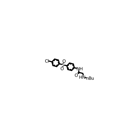 CCCCNCC(=O)Nc1ccc(S(=O)(=O)c2ccc(Cl)cc2)cc1